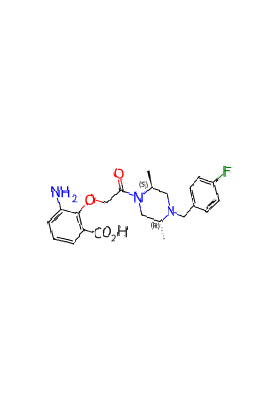 C[C@@H]1CN(C(=O)COc2c(N)cccc2C(=O)O)[C@@H](C)CN1Cc1ccc(F)cc1